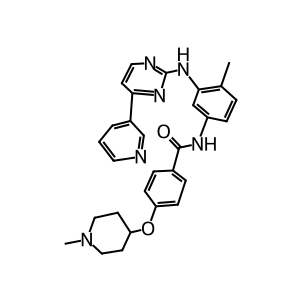 Cc1ccc(NC(=O)c2ccc(OC3CCN(C)CC3)cc2)cc1Nc1nccc(-c2cccnc2)n1